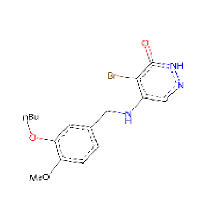 CCCCOc1cc(CNc2cn[nH]c(=O)c2Br)ccc1OC